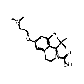 CN(C)CCOc1cc(Br)c2c(c1)CCN(C(=O)O)C2C(C)(C)C